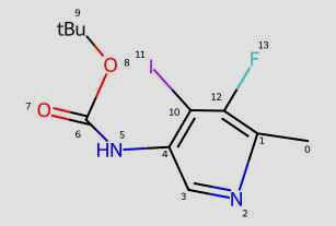 Cc1ncc(NC(=O)OC(C)(C)C)c(I)c1F